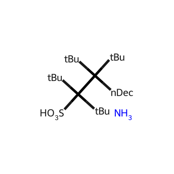 CCCCCCCCCCC(C(C)(C)C)(C(C)(C)C)C(C(C)(C)C)(C(C)(C)C)S(=O)(=O)O.N